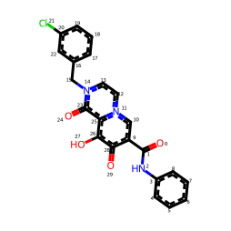 O=C(Nc1ccccc1)c1cn2ccn(Cc3cccc(Cl)c3)c(=O)c2c(O)c1=O